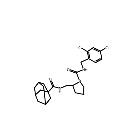 O=C(NCc1ccc(Cl)cc1Cl)N1CCCC1CNC(=O)C12CC3CC(CC(C3)C1)C2